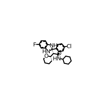 O=C(NC1CCCCC1)[C@H]([C@@H]1CCCCO1)C1(c2ccc(Cl)cc2)Nc2ccc(F)cc2N1